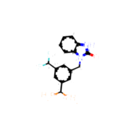 O=c1[nH]c2ccccc2n1Cc1cc(C(F)F)cc(C(P)P)c1